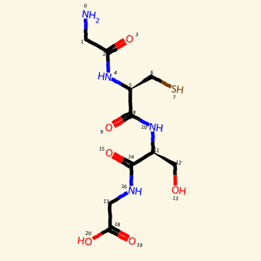 NCC(=O)N[C@@H](CS)C(=O)N[C@@H](CO)C(=O)NCC(=O)O